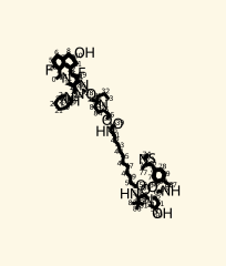 CCc1c(F)ccc2cc(O)cc(-c3ncc4c(N5CC6CCC(C5)N6)nc(OCC56CCCN5C(COC(=O)NCCCCCCCCCCC(=O)N[C@H](C(=O)N5C[C@H](O)C[C@H]5C(=O)N[C@@H](C)c5ccc(-c7scnc7C)cc5)C(C)(C)C)CC6)nc4c3F)c12